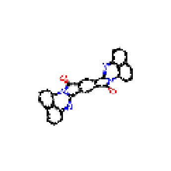 O=c1c2cc3c(cc2c2nc4cccc5cccc(c54)n12)c(=O)n1c2cccc4cccc(nc31)c42